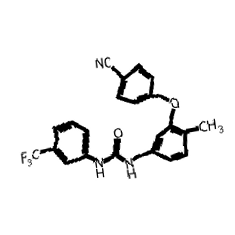 Cc1ccc(NC(=O)Nc2cccc(C(F)(F)F)c2)cc1Oc1ccc(C#N)cc1